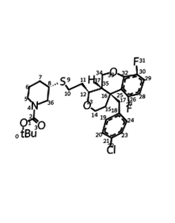 CC(C)(C)OC(=O)N1CCC[C@H](SCC[C@@H]2OCC[C@@]3(Cc4ccc(Cl)cc4)c4c(F)ccc(F)c4OC[C@@H]23)C1